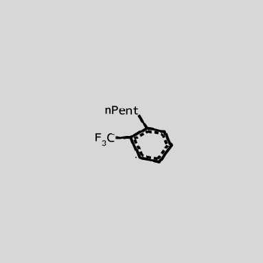 CCCCCc1ccc[c]c1C(F)(F)F